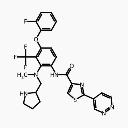 CN(CC1CCCN1)c1c(NC(=O)c2csc(-c3ccnnc3)n2)ccc(Oc2ccccc2F)c1C(F)(F)F